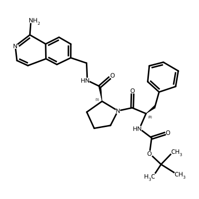 CC(C)(C)OC(=O)N[C@H](Cc1ccccc1)C(=O)N1CCC[C@H]1C(=O)NCc1ccc2c(N)nccc2c1